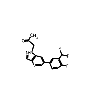 CC(=O)Cn1ncc2ncc(-c3ccc(F)c(C(F)F)c3)cc21